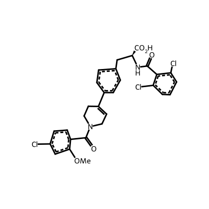 COc1cc(Cl)ccc1C(=O)N1CC=C(c2ccc(C[C@H](NC(=O)c3c(Cl)cccc3Cl)C(=O)O)cc2)CC1